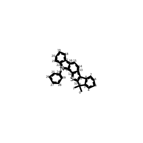 CC1(C)c2ccccc2-c2c1sc1c2ccc2c3ccccc3n(-c3ccccc3)c21